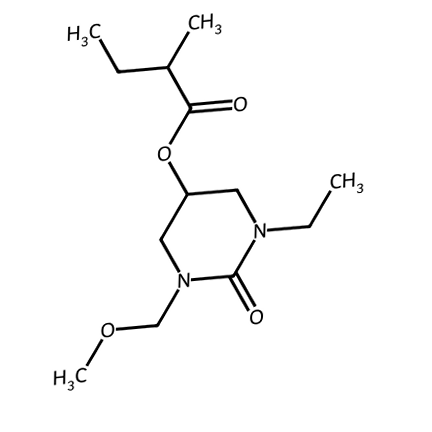 CCC(C)C(=O)OC1CN(CC)C(=O)N(COC)C1